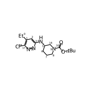 CCc1cc(N[C@@H]2CCCN(C(=O)OC(C)(C)C)C2)nnc1Cl